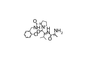 CC(C)[C@H](NC(=O)[C@H](C)N)C(=O)N1CCC[C@H]1C(=O)NCc1ccccc1Cl